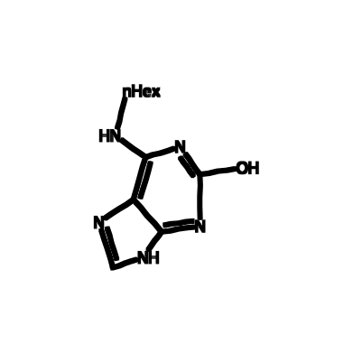 CCCCCCNc1nc(O)nc2[nH]cnc12